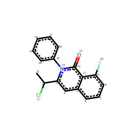 CC(Cl)c1cc2cccc(F)c2c(=O)n1-c1ccccc1